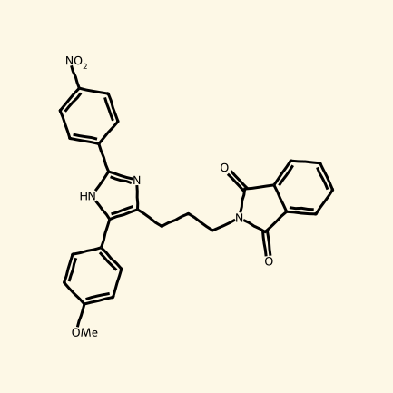 COc1ccc(-c2[nH]c(-c3ccc([N+](=O)[O-])cc3)nc2CCCN2C(=O)c3ccccc3C2=O)cc1